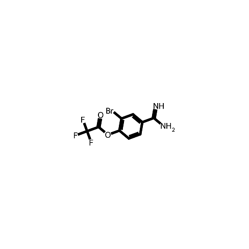 N=C(N)c1ccc(OC(=O)C(F)(F)F)c(Br)c1